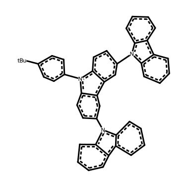 CC(C)(C)c1ccc(-n2c3ccc(-n4c5ccccc5c5ccccc54)cc3c3cc(-n4c5ccccc5c5ccccc54)ccc32)cc1